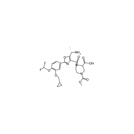 COC(=O)N1CCN(C(=O)c2nc(-c3ccc(OC(F)F)c(OCC4CC4)c3)oc2[C@H](C)N)C(C(=O)O)C1